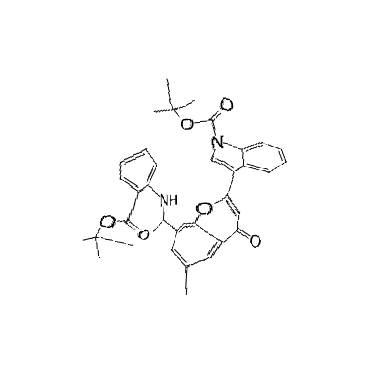 Cc1cc(C(C)Nc2ccccc2C(=O)OC(C)(C)C)c2oc(-c3cn(C(=O)OC(C)(C)C)c4ccccc34)cc(=O)c2c1